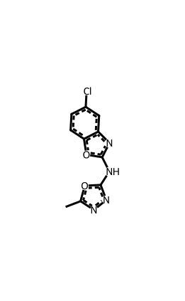 Cc1nnc(Nc2nc3cc(Cl)ccc3o2)o1